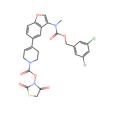 CN(C(=O)OCc1cc(Cl)cc(Cl)c1)c1coc2ccc(C3=CCN(C(=O)ON4C(=O)CSC4=O)CC3)cc12